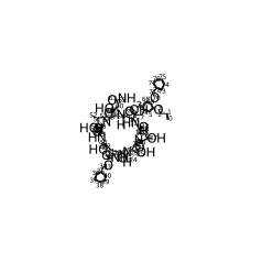 C=CCOc1cc(C[C@@H](O)[C@@H]2NC(=O)[C@@H]3C[C@@H](O)CN3C(=O)[C@H]([C@@H](C)O)NC(=O)C(NC(=O)OCc3ccccc3)C[C@@H](O)CNC(=O)[C@@H]3[C@@H](O)[C@@H](C)CN3C(=O)[C@H]([C@H](O)CC(N)=O)NC2=O)ccc1OCc1ccccc1